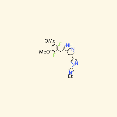 CCN1CC(n2cc(-c3cnc4[nH]cc(Cc5c(F)c(OC)cc(OC)c5F)c4c3)cn2)C1